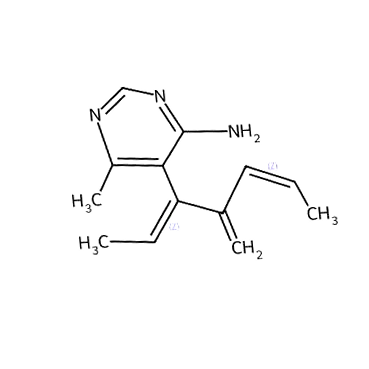 C=C(/C=C\C)/C(=C/C)c1c(C)ncnc1N